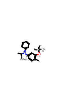 CCCCCC(C)N(c1ccccc1)c1ccc(C)c(O[Si](C)(C)C(C)(C)C)c1